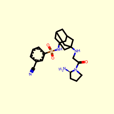 N#Cc1cccc(S(=O)(=O)NC23CC4CC(CC(NCC(=O)N5CCC[C@H]5N)(C4)C2)C3)c1